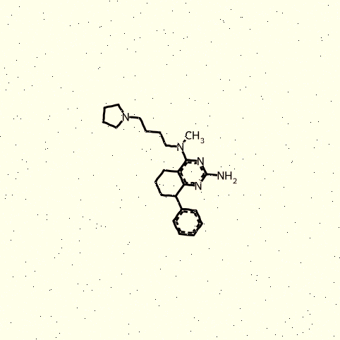 CN(CCCCN1CCCC1)c1nc(N)nc2c1CCCC2c1ccccc1